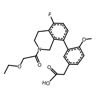 CCOCC(=O)N1CCc2c(F)ccc(-c3cc(CC(=O)O)ccc3OC)c2C1